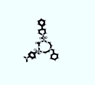 CN(C)c1ccc(S(=O)(=O)N2CCCN(CC3CCCCC3)CCCN(S(=O)(=O)N3CCC(c4ccccc4)CC3)CC(=O)C2)cc1